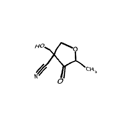 CC1OCC(O)(C#N)C1=O